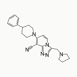 N#Cc1c(N2CCC(c3ccccc3)CC2)ccn2c(CN3CCCC3)nnc12